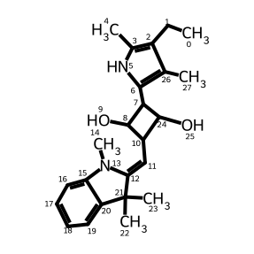 CCc1c(C)[nH]c(C2C(O)C(C=C3N(C)c4ccccc4C3(C)C)C2O)c1C